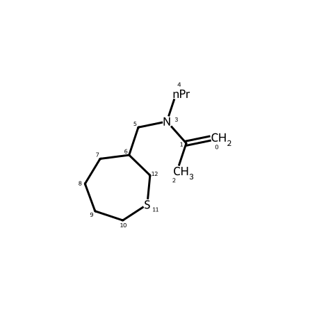 C=C(C)N(CCC)CC1CCCCSC1